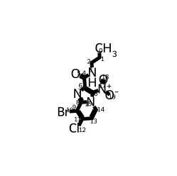 CCCNC(=O)c1nc2c(Br)c(Cl)ccn2c1[N+](=O)[O-]